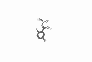 CC(=N[S+]([O-])C(C)(C)C)c1cc(Br)ccc1F